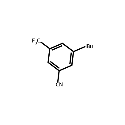 CCC(C)c1cc(C#N)cc(C(F)(F)F)c1